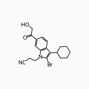 N#CCCn1c(Br)c(C2CCCCC2)c2ccc(C(=O)CO)cc21